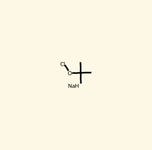 CC(C)(C)OCl.[NaH]